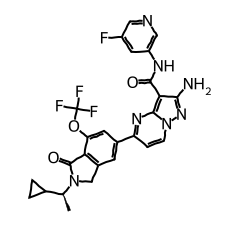 C[C@@H](C1CC1)N1Cc2cc(-c3ccn4nc(N)c(C(=O)Nc5cncc(F)c5)c4n3)cc(OC(F)(F)F)c2C1=O